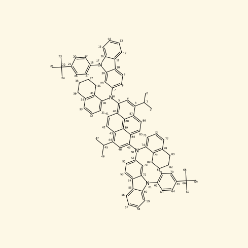 CC(C)c1cc(N(c2ccc3c4ccccc4n(-c4ccc(C(C)(C)C)cc4)c3c2)c2cccc3c2CCCC3)c2ccc3c(C(C)C)cc(N(c4ccc5c6ccccc6n(-c6ccc(C(C)(C)C)cc6)c5c4)c4cccc5c4CCCC5)c4ccc1c2c34